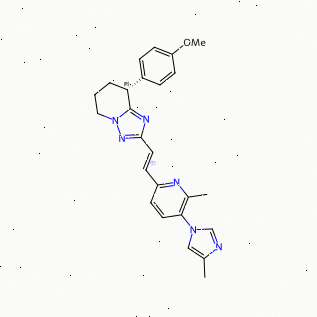 COc1ccc([C@H]2CCCn3nc(/C=C/c4ccc(-n5cnc(C)c5)c(C)n4)nc32)cc1